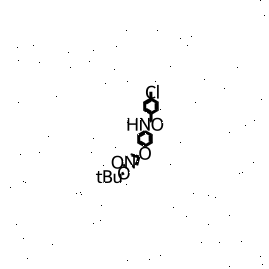 CC(C)(C)OC(=O)N1CC(Oc2ccc(NC(=O)c3ccc(Cl)cc3)cc2)C1